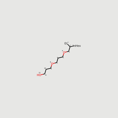 CCCCCCC(CC)COCCCOCCCO